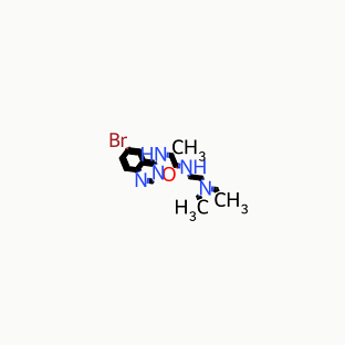 CCN(CC)CCNC(=O)[C@H](C)Nc1ncnc2ccc(Br)cc12